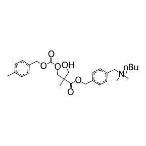 CCCC[N+](C)(C)Cc1ccc(COC(=O)C(C)(CO)COC(=O)OCc2ccc(C)cc2)cc1